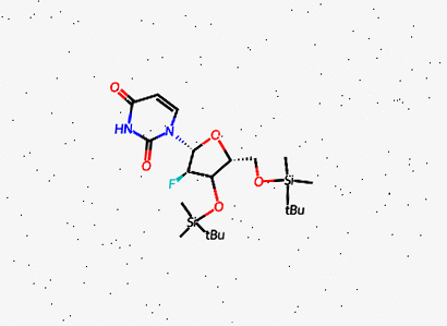 CC(C)(C)[Si](C)(C)OC[C@H]1O[C@@H](n2ccc(=O)[nH]c2=O)[C@H](F)C1O[Si](C)(C)C(C)(C)C